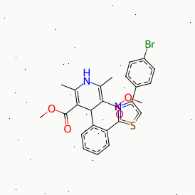 COC(=O)C1=C(C)NC(C)=C(C(=O)OC)C1c1ccccc1-c1nc(-c2ccc(Br)cc2)cs1